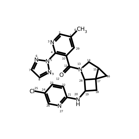 Cc1cnc(-n2nccn2)c(C(=O)N2CC3CC34CC(Nc3ccc(Cl)cn3)C24)c1